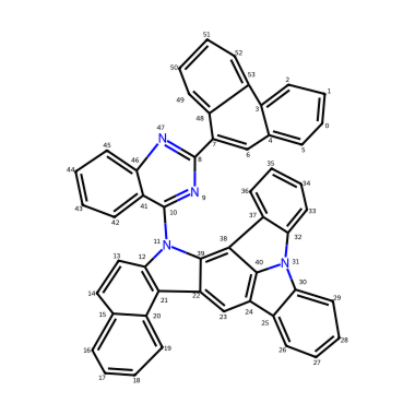 c1ccc2c(c1)cc(-c1nc(-n3c4ccc5ccccc5c4c4cc5c6ccccc6n6c7ccccc7c(c43)c56)c3ccccc3n1)c1ccccc12